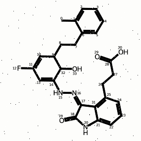 Cc1ccccc1CCC1C=C(F)C=C(NN=C2C(=O)Nc3cccc(CCC(=O)O)c32)C1O